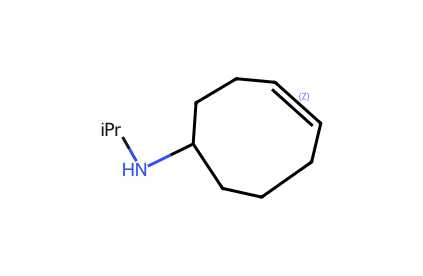 CC(C)NC1CC/C=C\CCC1